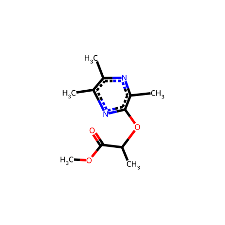 COC(=O)C(C)Oc1nc(C)c(C)nc1C